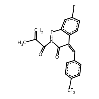 C=C(C)C(=O)NC(=O)/C(=C\c1ccc(C(F)(F)F)cc1)c1ccc(F)cc1F